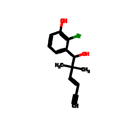 C#C/C=C/C(C)(C)C(O)c1cccc(O)c1Br